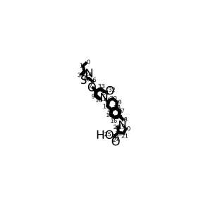 CCc1csc(COc2ccn(C3=Cc4ccc(CN5CCC(C(=O)O)C5)cc4CC3)c(=O)c2)n1